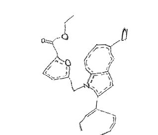 C/C=C\C(=C/C)c1cc2cc(Cl)ccc2n1Cc1ccc(C(=O)OCC)o1